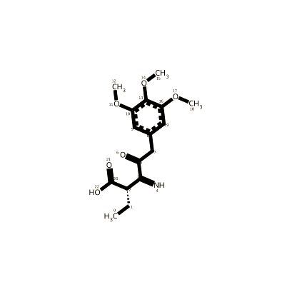 CC[C@@H](C(=N)C(=O)Cc1cc(OC)c(OC)c(OC)c1)C(=O)O